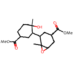 COC(=O)C1CCC(C)(O)C(C2CC(C(=O)OC)CC3OC32C)C1